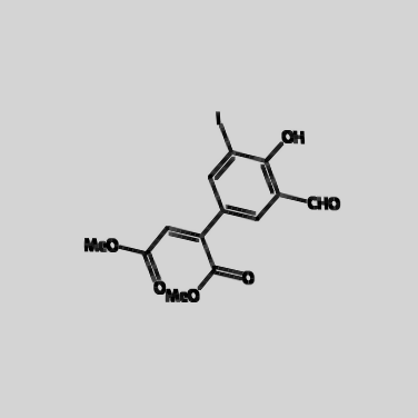 COC(=O)C=C(C(=O)OC)c1cc(I)c(O)c(C=O)c1